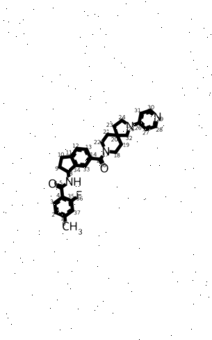 Cc1ccc(C(=O)NC2CCc3ccc(C(=O)N4CCC5(CC4)CCN(c4ccncc4)C5)cc32)c(F)c1